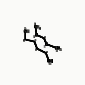 COCOC.OCCCCO